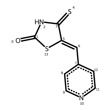 O=C1NC(=S)/C(=C/c2ccncc2)S1